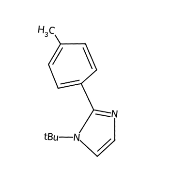 [CH2]C(C)(C)n1ccnc1-c1ccc(C)cc1